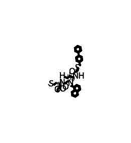 CC[C@H](C)[C@@H](CN(CC(=O)N[C@@H](CCSC)C(=O)OC)Cc1cccc2ccccc12)NC(=O)CSCc1ccc(-c2ccccc2)cc1